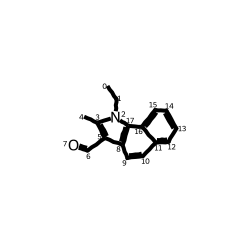 CCn1c(C)c(C=O)c2ccc3ccccc3c21